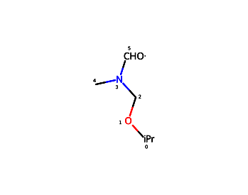 CC(C)OCN(C)[C]=O